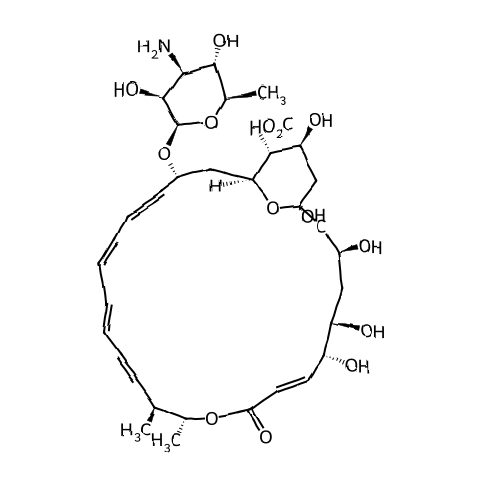 C[C@H]1/C=C/C=C/C=C/C=C/[C@H](O[C@@H]2O[C@H](C)[C@@H](O)[C@H](N)[C@@H]2O)C[C@@H]2O[C@](O)(C[C@@H](O)C[C@@H](O)[C@H](O)/C=C/C(=O)O[C@@H]1C)C[C@H](O)[C@H]2C(=O)O